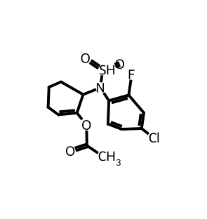 CC(=O)OC1=CCCCC1N(c1ccc(Cl)cc1F)[SH](=O)=O